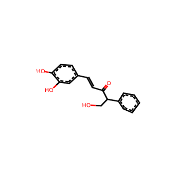 O=C(C=Cc1ccc(O)c(O)c1)C(CO)c1ccccc1